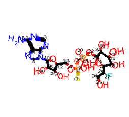 Nc1ncnc2c1ncn2C1OC(COP(O)(=S)OP(=O)(O)OC2OC([C@@H](F)CO)C(O)C(O)C2O)C(O)C1O